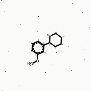 OOc1cccc(C2CCCCC2)c1